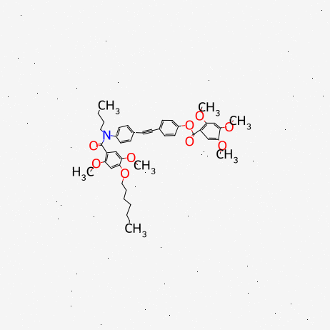 CCCCCCCOc1cc(OC)c(C(=O)N(CCCC)c2ccc(C#Cc3ccc(OC(=O)c4cc(OC)c(OC)cc4OC)cc3)cc2)cc1OC